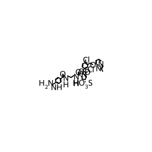 CS(=O)(=O)O.Cc1cn2cccc(OCc3c(Cl)ccc(S(=O)(=O)N4CCC[C@H]4C(=O)NCCCNC(=O)c4ccc(C(=N)N)cc4)c3Cl)c2n1